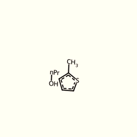 CCCO.Cc1cccs1